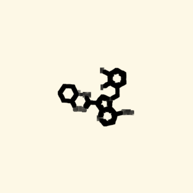 COc1ccnc2c(C(=O)N[C@H]3CCCCC3O)cn(Cc3cccc(F)c3F)c12